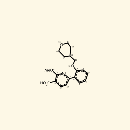 COc1nc(-c2ccccc2OCC2CCOCC2)ccc1C(=O)O